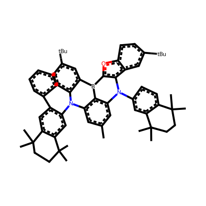 Cc1cc2c3c(c1)N(c1ccc4c(c1)C(C)(C)CCC4(C)C)c1c(oc4ccc(C(C)(C)C)cc14)B3c1cc(C(C)(C)C)ccc1N2c1cc2c(cc1-c1ccccc1)C(C)(C)CCC2(C)C